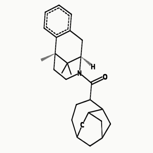 CC1(C)[C@H]2Cc3ccccc3[C@]1(C)CCN2C(=O)C1CCC2CC3CC(C2)C1C3